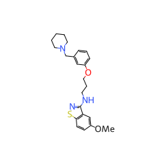 COc1ccc2snc(NCCCOc3cccc(CN4CCCCC4)c3)c2c1